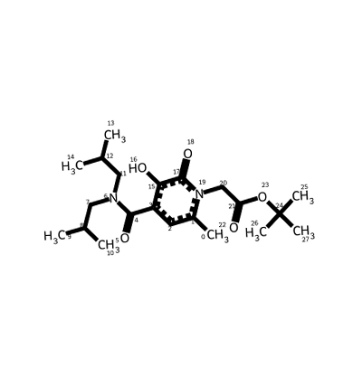 Cc1cc(C(=O)N(CC(C)C)CC(C)C)c(O)c(=O)n1CC(=O)OC(C)(C)C